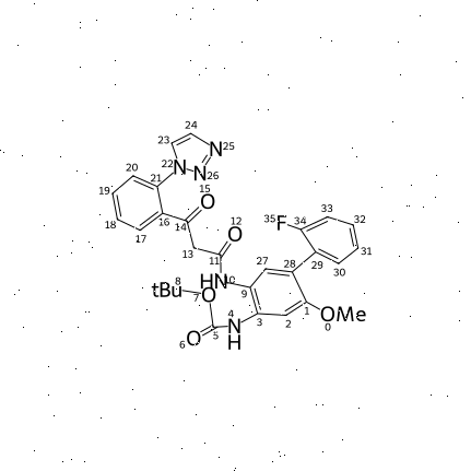 COc1cc(NC(=O)OC(C)(C)C)c(NC(=O)CC(=O)c2ccccc2-n2ccnn2)cc1-c1ccccc1F